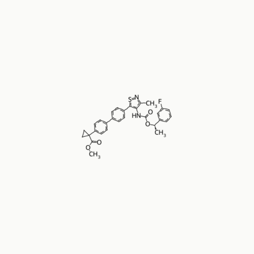 COC(=O)C1(c2ccc(-c3ccc(-c4snc(C)c4NC(=O)O[C@H](C)c4cccc(F)c4)cc3)cc2)CC1